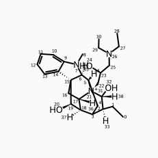 CC[C@H]1C2C[C@H]3[C@@H]4N(C)c5ccccc5[C@]45C[C@@H]([C@@H]2[C@H]5O)[N@@+]3(CC(O)CN(CC)CC)[C@@H]1O